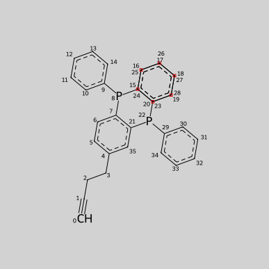 C#CCCc1ccc(P(c2ccccc2)c2ccccc2)c(P(c2ccccc2)c2ccccc2)c1